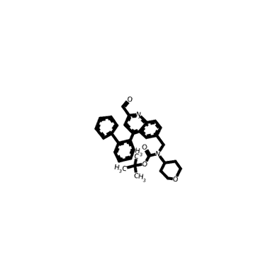 CC(C)(C)OC(=O)N(Cc1ccc2nc(C=O)cc(-c3ccccc3-c3ccccc3)c2c1)C1CCOCC1